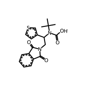 CC(C)(C)N(C(=O)O)C(CN1C(=O)c2ccccc2C1=O)c1ccsc1